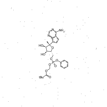 CC(C)(C)C(=O)OCOP(=O)(OC[C@H]1O[C@@](C)(c2ccc3c(N)ncnn23)[C@H](O)[C@@H]1O)Oc1ccccc1